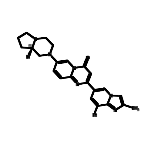 CCc1cc(-c2cc(=O)n3cc(N4CCN5CCC[C@H]5C4)ccc3n2)cn2cc(C)nc12